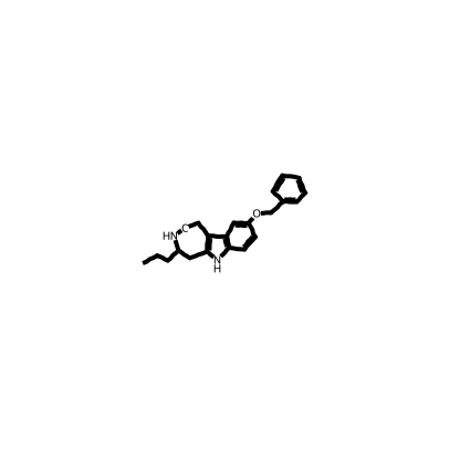 CCCC1Cc2[nH]c3ccc(OCc4ccccc4)cc3c2CCN1